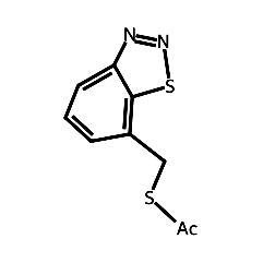 CC(=O)SCc1cccc2nnsc12